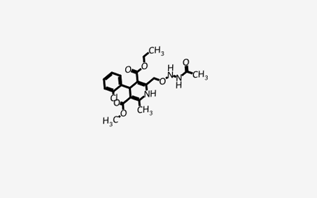 CCOC(=O)C1=C(CONNC(C)=O)NC(C)=C(C(=O)OC)C1c1ccccc1Cl